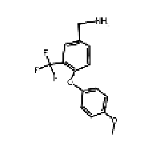 COc1ccc(Oc2ccc(CN)cc2C(F)(F)F)cc1